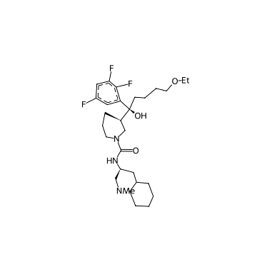 CCOCCCC[C@@](O)(c1cc(F)cc(F)c1F)[C@@H]1CCCN(C(=O)N[C@H](CNC)CC2CCCCC2)C1